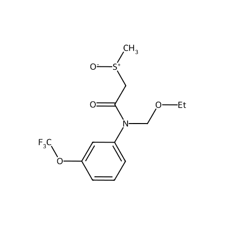 CCOCN(C(=O)C[S+](C)[O-])c1cccc(OC(F)(F)F)c1